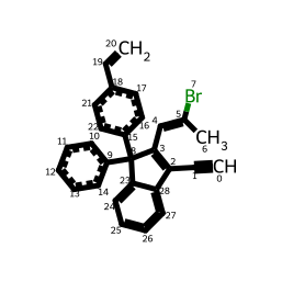 C#CC1=C(/C=C(\C)Br)C(c2ccccc2)(c2ccc(C=C)cc2)C2=CC=C=C=C21